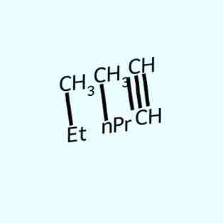 C#C.CCC.CCCC